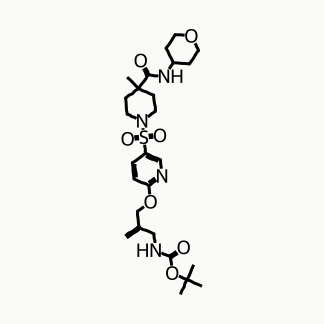 C=C(CNC(=O)OC(C)(C)C)COc1ccc(S(=O)(=O)N2CCC(C)(C(=O)NC3CCOCC3)CC2)cn1